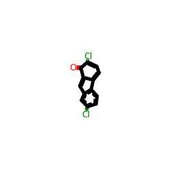 O=C1C(Cl)=CC=C2C1=Cc1cc(Cl)ccc12